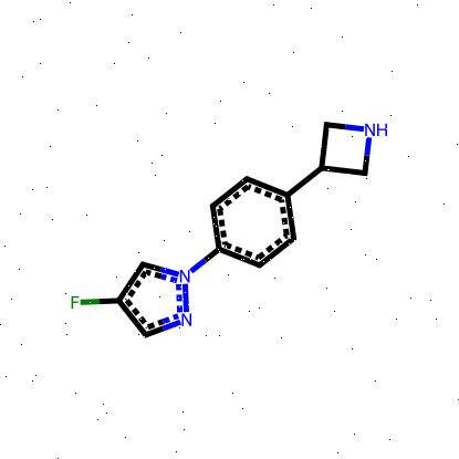 Fc1cnn(-c2ccc(C3CNC3)cc2)c1